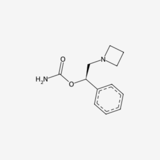 NC(=O)O[C@@H](CN1CCC1)c1ccccc1